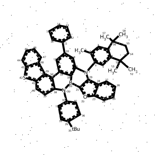 Cc1cc2c(cc1N1c3cc(-c4ccccc4)cc4c3B(c3oc5ccccc5c31)N(c1ccc(C(C)(C)C)cc1)c1ccc3sc5ccccc5c3c1-4)C(C)(C)CCC2(C)C